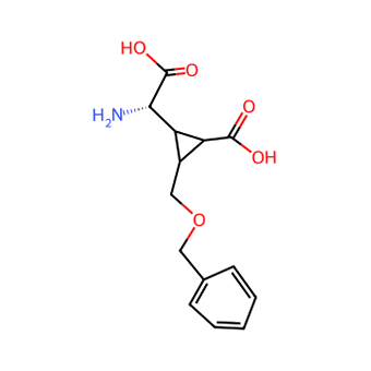 N[C@H](C(=O)O)C1C(COCc2ccccc2)C1C(=O)O